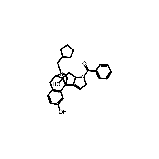 O=C(c1ccccc1)N1CC=C2C1CC1(O)C3Cc4ccc(O)cc4C21CCN3CC1CCCC1